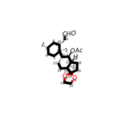 CC(=O)O[C@@H]1[C@@H]([C@@]2(C)CC[C@H](C)C[C@@H]2CC=O)CC[C@@]2(C)[C@H]1CCC21OCCO1